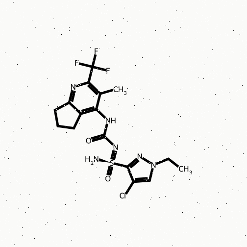 CCn1cc(Cl)c([S@](N)(=O)=NC(=O)Nc2c(C)c(C(F)(F)F)nc3c2CCC3)n1